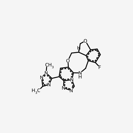 Cc1nc(-c2cc3c(n4cnnc24)NCc2c(F)ccc4c2[C@H](CO4)CO3)n(C)n1